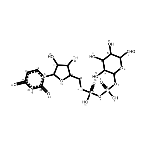 O=CC1OC(OP(=O)(O)OP(=O)(O)OCC2OC(n3ccc(=O)[nH]c3=O)C(O)C2O)C(O)C(O)C1O